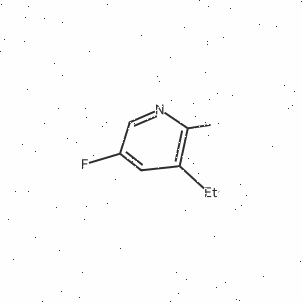 C[CH]c1cc(F)cnc1C